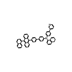 C1=Cc2c(cccc2N(c2ccc(-c3ccc(-c4c5ccccc5c(-c5cccc6ccccc56)c5ccccc45)cc3)cc2)c2ccc(-c3cccnc3)cc2)CC1